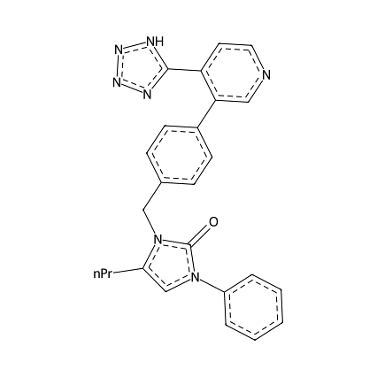 CCCc1cn(-c2ccccc2)c(=O)n1Cc1ccc(-c2cnccc2-c2nnn[nH]2)cc1